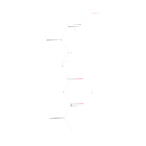 CO/C=C/C(C)/C=C/C(=C/C(=O)C(C)C)OC